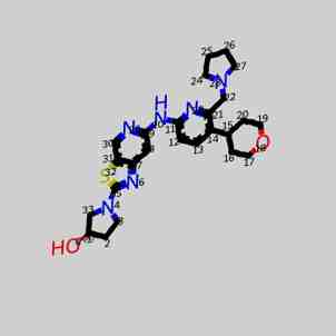 O[C@@H]1CCN(c2nc3cc(Nc4ccc(C5CCOCC5)c(CN5CCCC5)n4)ncc3s2)C1